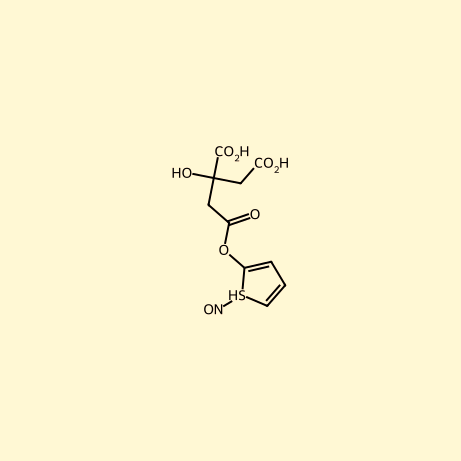 O=N[SH]1C=CC=C1OC(=O)CC(O)(CC(=O)O)C(=O)O